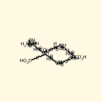 C[C@H](CCC(=O)NCCOCCOCC(=O)N[C@@H](CCC(=O)NCCOCCOCC(=O)N[C@H](C)CCC(=O)NCCOCCOCC(=O)N[C@H](C)CCC(=O)NCCCC[C@H](NI)C(=O)NC(C(N)=O)[C@@H](C)O)C(=O)O)NCCCCNC(=O)CCCCCCCCCCCCCCCCC(=O)O